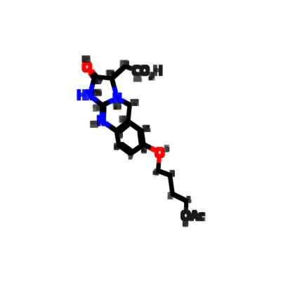 CC(=O)OCCCCOc1ccc2c(c1)CN1C(=N2)NC(=O)C1CC(=O)O